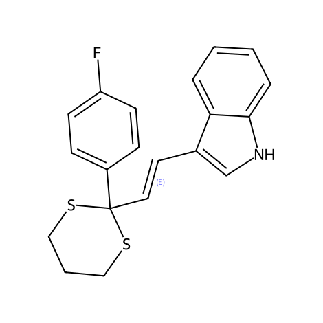 Fc1ccc(C2(/C=C/c3c[nH]c4ccccc34)SCCCS2)cc1